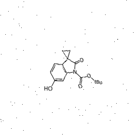 CC(C)(C)OC(=O)N1C(=O)C2(CC2)c2ccc(O)cc21